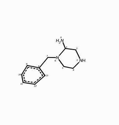 NC1CNCCN1Cc1ccccc1